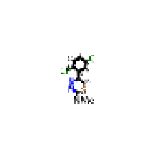 CNC1=NN=C(c2cc(Cl)ccc2Cl)CS1